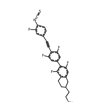 CCCC1CCc2c(cc(F)c(-c3cc(F)c(C#Cc4ccc(N=C=S)c(F)c4)c(F)c3)c2F)C1